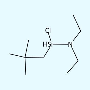 CCN(CC)[SiH](Cl)CC(C)(C)C